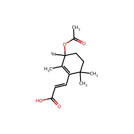 [2H]C1(OC(C)=O)CCC(C)(C)C(C=CC(=O)O)=C1C